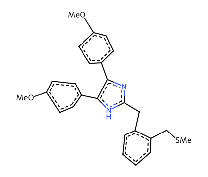 COc1ccc(-c2nc(Cc3ccccc3CSC)[nH]c2-c2ccc(OC)cc2)cc1